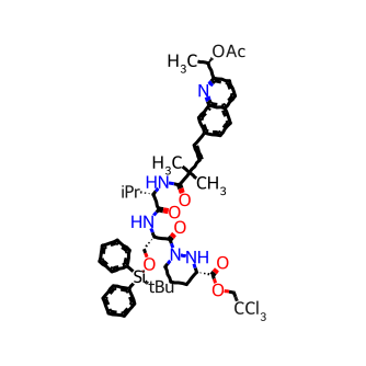 CC(=O)O[C@H](C)c1ccc2ccc(/C=C/C(C)(C)C(=O)N[C@H](C(=O)N[C@@H](CO[Si](c3ccccc3)(c3ccccc3)C(C)(C)C)C(=O)N3CCC[C@@H](C(=O)OCC(Cl)(Cl)Cl)N3)C(C)C)cc2n1